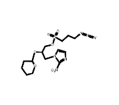 [N-]=[N+]=NCCCS(=O)(=O)OCC(Cn1ccnc1[N+](=O)[O-])OC1CCCCO1